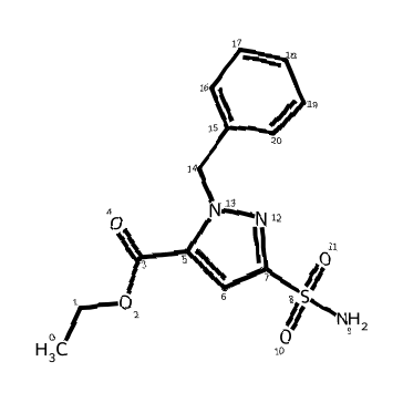 CCOC(=O)c1cc(S(N)(=O)=O)nn1Cc1ccccc1